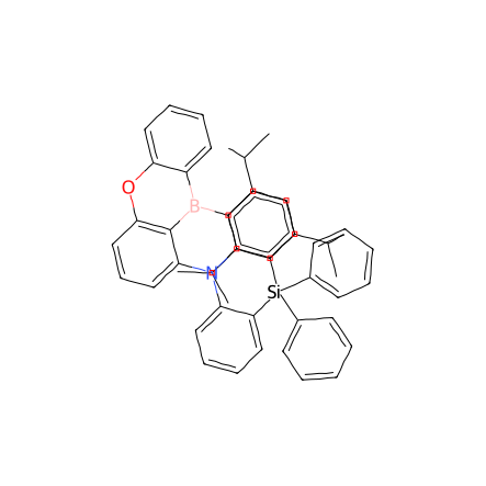 CC(C)c1cc(C(C)C)c(B2c3ccccc3Oc3cccc(N4c5ccccc5[Si](c5ccccc5)(c5ccccc5)c5ccccc54)c32)c(C(C)C)c1